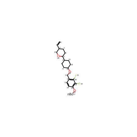 C=CC1CCC(C2CCC(OCc3ccc(OCCCC)c(F)c3F)CC2)OC1